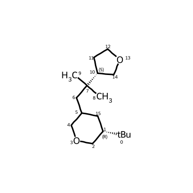 CC(C)(C)[C@@H]1COCC(CC(C)(C)[C@@H]2CCOC2)C1